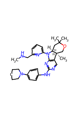 CNCc1cccc(N2c3nc(Nc4ccc(N5CCCCC5)cc4)ncc3[C@]3(C)COC(C)(C)C[C@H]23)n1